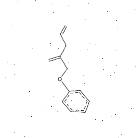 C=CCC(=C)COc1ccccc1